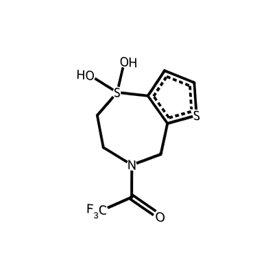 O=C(N1CCS(O)(O)c2ccsc2C1)C(F)(F)F